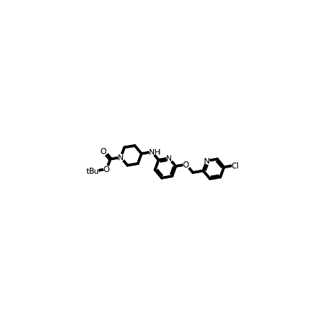 CC(C)(C)OC(=O)N1CCC(Nc2cccc(OCc3ccc(Cl)cn3)n2)CC1